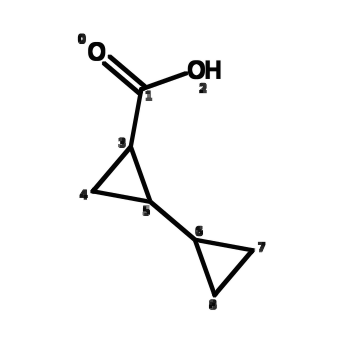 O=C(O)C1CC1C1CC1